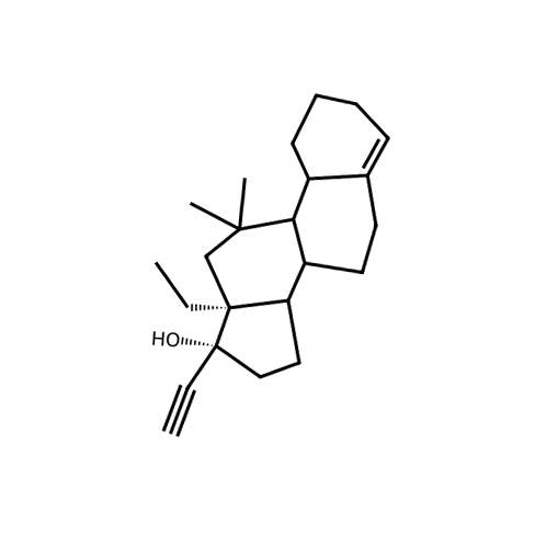 C#C[C@]1(O)CCC2C3CCC4=CCCCC4C3C(C)(C)C[C@@]21CC